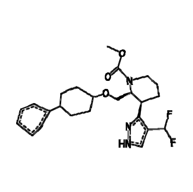 COC(=O)N1CCC[C@@H](c2n[nH]cc2C(F)F)[C@H]1COC1CCC(c2ccccc2)CC1